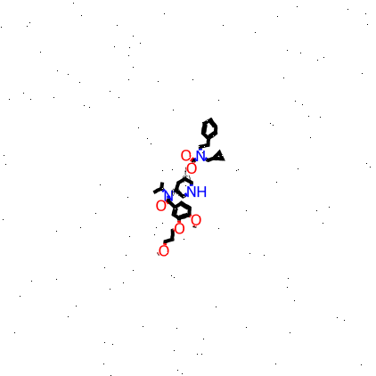 COCCCOc1cc(C(=O)N(C(C)C)[C@H]2CNC[C@@H](COC(=O)N(CCc3ccccc3)CC3CC3)C2)ccc1OC